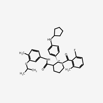 Cc1ccc(NC(=O)C2CCCN(C(=O)c3c(C)cccc3F)[C@H]2c2ccc(NC3CCCC3)cc2)cc1OC(C)C